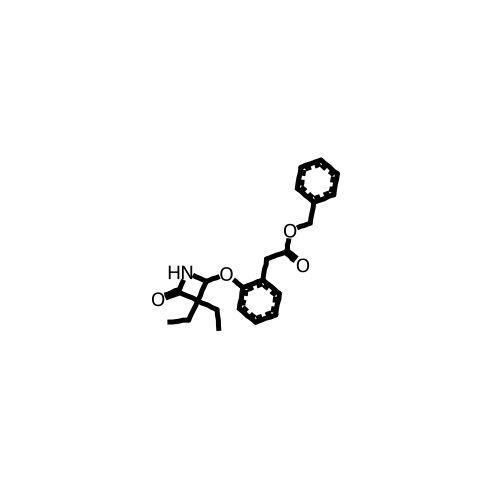 CCC1(CC)C(=O)NC1Oc1ccccc1CC(=O)OCc1ccccc1